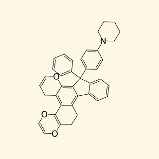 C1=COc2c(c3c(c4c2C(c2ccccc2)(c2ccc(N5CCCCC5)cc2)c2ccccc2-4)CCC2=C3OC=CO2)C1